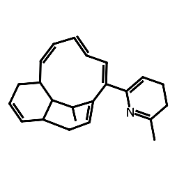 CC1=NC(/C2=C/C=C/C=C\C3CC=CC4CC=C2C(C)C43)=CCC1